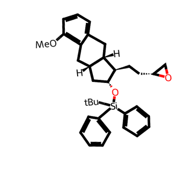 COc1cccc2c1C[C@H]1C[C@@H](O[Si](c3ccccc3)(c3ccccc3)C(C)(C)C)[C@H](CC[C@@H]3CO3)[C@H]1C2